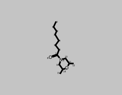 CCCCCCCC(=O)N1CC(C)OC(C)C1